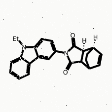 CCn1c2ccccc2c2cc(N3C(=O)C4C5C=C[C@@H](CC5)[C@@H]4C3=O)ccc21